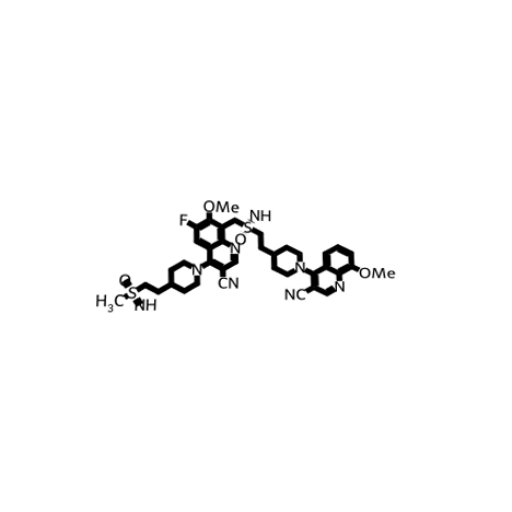 COc1c(F)cc2c(N3CCC(CCS(C)(=N)=O)CC3)c(C#N)cnc2c1CS(=N)(=O)CCC1CCN(c2c(C#N)cnc3c(OC)cccc23)CC1